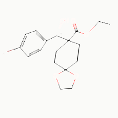 CCOC(=O)C1([C@@H](O)c2ccc(Br)cc2)CCC2(CC1)OCCO2